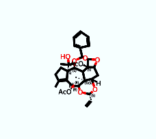 C=C[C@H]1O[C@H]2CC3OC[C@@]3(OC(C)=O)C3[C@H](OC(=O)c4ccccc4)[C@]4(C(C)(C)O)CCC(C)=C4[C@@H](OC(C)=O)[C@H](O1)[C@@]32C